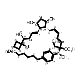 CCCCCCCCCCCCCCCc1ccc(N(C)C(CC=O)(CC/C=C\C[C@@H]2[C@@H](/C=C/C[C@H](O)C3(CC)CCC3)[C@H](O)C[C@H]2Cl)C(=O)O)cc1